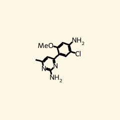 COc1cc(N)c(Cl)cc1-c1cc(C)nc(N)n1